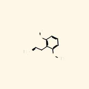 C=CCc1c(OCC)cccc1OCCC